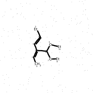 CC=C(C=CCC)C(OCC)OCC